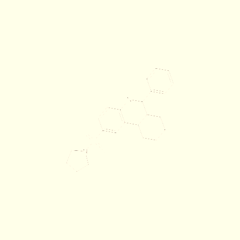 O=S(=O)(c1ccc2c(c1)C1CCCCC1C(c1ccccc1)N2)N1CCCC1